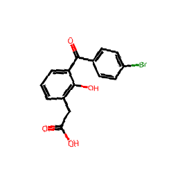 O=C(O)Cc1cccc(C(=O)c2ccc(Br)cc2)c1O